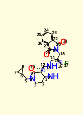 N=C1CCN(CC2CC2)C(=O)/C1=C/NC/C(=C/F)CN1C(=O)c2ccccc2C1=O